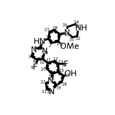 COc1cc(Nc2ncc(F)c(-c3cc(F)c4c(O)cc5nccn5c4c3)n2)ccc1N1CCNCC1